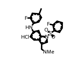 CNCc1cn(S(=O)(=O)c2ccccc2F)c2cc(Nc3ccc(C)cc3F)ccc12.Cl